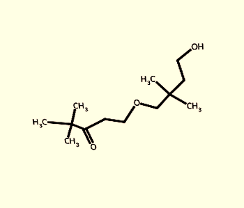 CC(C)(CCO)COCCC(=O)C(C)(C)C